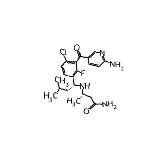 CC(C)C[C@@H](N[C@@H](C)CC(N)=O)c1ccc(Cl)c(C(=O)c2ccc(N)nc2)c1F